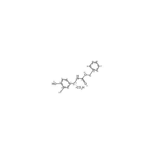 O=C(N[C@H](C(=O)O)c1ccc(O)c(I)c1)OCc1ccccc1